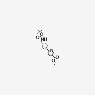 CCOC(=O)c1ccc(N2CCC(CNC(=O)OC(C)(C)C)CC2)nc1